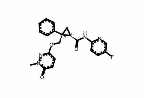 Cn1nc(OC[C@@]2(c3ccccc3)C[C@H]2C(=O)Nc2ccc(F)cn2)ccc1=O